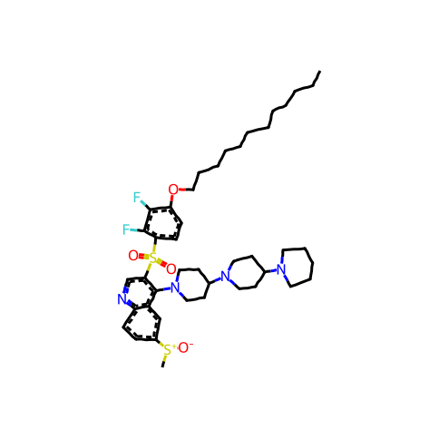 CCCCCCCCCCCCOc1ccc(S(=O)(=O)c2cnc3ccc([S+](C)[O-])cc3c2N2CCC(N3CCC(N4CCCCC4)CC3)CC2)c(F)c1F